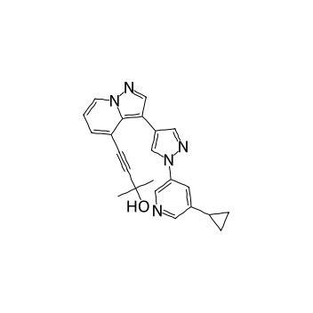 CC(C)(O)C#Cc1cccn2ncc(-c3cnn(-c4cncc(C5CC5)c4)c3)c12